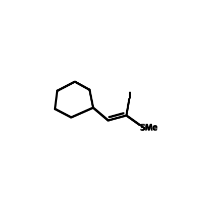 CS/C(I)=C/C1CCCCC1